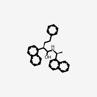 C[C@H](NC(O)[C@H](CCc1ccccc1)c1cccc2ccccc12)c1cccc2ccccc12